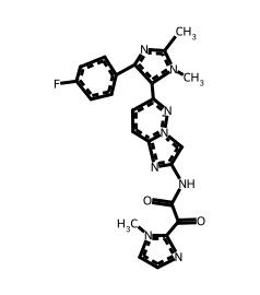 Cc1nc(-c2ccc(F)cc2)c(-c2ccc3nc(NC(=O)C(=O)c4nccn4C)cn3n2)n1C